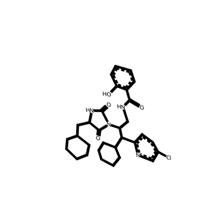 O=C(NCC(C(c1ccc(Cl)cn1)C1CCCCC1)N1C(=O)NC(CC2CCCCC2)C1=O)c1ccccc1O